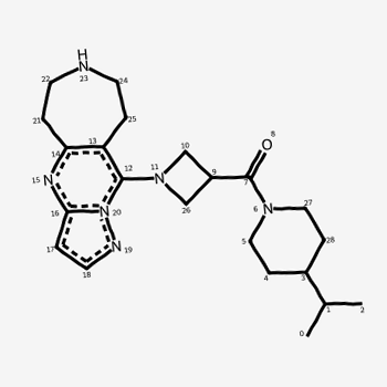 CC(C)C1CCN(C(=O)C2CN(c3c4c(nc5ccnn35)CCNCC4)C2)CC1